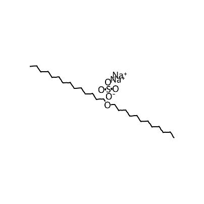 CCCCCCCCCCCCCCOCCCCCCCCCCCC.O=S(=O)([O-])[O-].[Na+].[Na+]